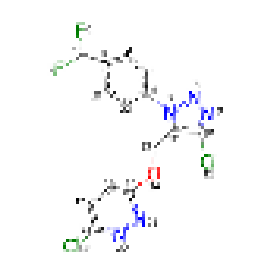 FC(F)c1ccc(-n2nnc(Cl)c2COc2ccc(Cl)nn2)cc1